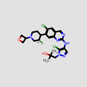 CC(C)(O)Cn1ncc(Nc2ncc3cc(Cl)c(C4CCN(C5COC5)C[C@@H]4F)cc3n2)c1Cl